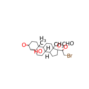 C[C@]12CCC(=O)C=C1CC[C@H]1[C@@H]3CC[C@](OC=O)(C(=O)CBr)[C@@]3(C)CC[C@@]12O